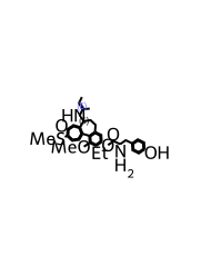 C/C=C(\C)N[C@H]1CCc2cc(OC(=O)C(N)Cc3ccc(O)cc3)c(CC)c(OC)c2-c2ccc(SC)c(=O)cc21